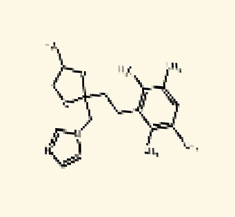 Cc1cc(C)c(C)c(CCC2(Cn3ccnc3)OCC(C)O2)c1C